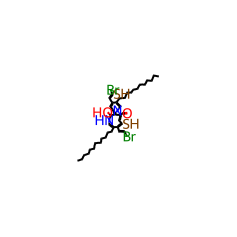 CCCCCCCCCCCCC1=CN2C(C=C1/C=C(\S)Br)C21/C(C=O)=C/C(S)=C(/C=C/Br)C(\CCCCCCCCCCCC)=C/NC1O